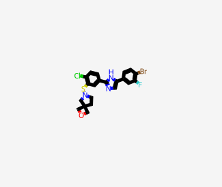 Fc1cc(-c2cnc(-c3ccc(Cl)c(SN4CCC5(COC5)C4)c3)[nH]2)ccc1Br